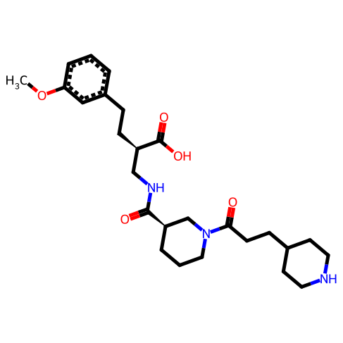 COc1cccc(CC[C@H](CNC(=O)[C@@H]2CCCN(C(=O)CCC3CCNCC3)C2)C(=O)O)c1